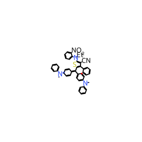 CCN(c1ccccc1[N+](=O)[O-])c1sc(C(=C2C=CC(=[N+](C)c3ccccc3)C=C2)c2ccc(N(C)c3ccccc3)cc2)c(-c2ccccc2)c1C#N